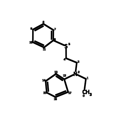 CCN(CCSc1ccccc1)c1ccccc1